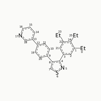 CCc1cc(-c2nscc2-c2ccc(-c3cccnc3)cc2)cc(CC)c1CC